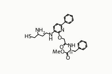 COC(=O)[C@H](Cc1ccccc1)NC(=O)COc1nc(-c2ccccc2)ccc1NCCC(N)CS